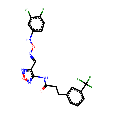 O=C(CCc1cccc(C(F)(F)F)c1)Nc1nonc1/C=N/ONc1ccc(F)c(Br)c1